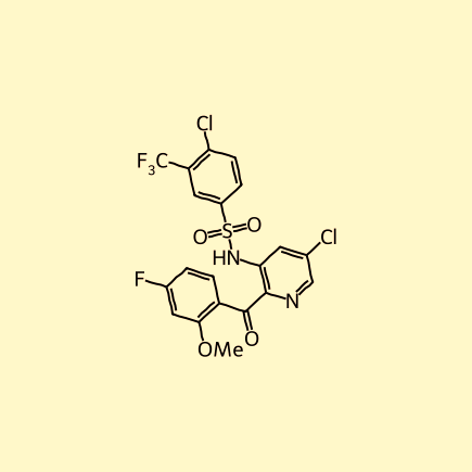 COc1cc(F)ccc1C(=O)c1ncc(Cl)cc1NS(=O)(=O)c1ccc(Cl)c(C(F)(F)F)c1